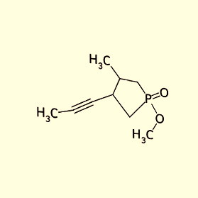 CC#CC1CP(=O)(OC)CC1C